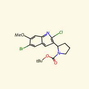 COc1cc2nc(Cl)c(C3CCCN3C(=O)OC(C)(C)C)cc2cc1Br